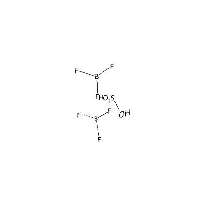 FB(F)F.FB(F)F.O=S(=O)(O)O